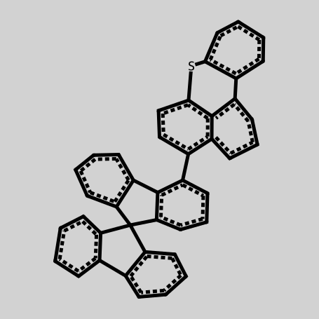 c1ccc2c(c1)Sc1ccc(-c3cccc4c3-c3ccccc3C43c4ccccc4-c4ccccc43)c3cccc-2c13